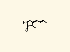 C/C=C/C=C1/CNC(=O)C1C